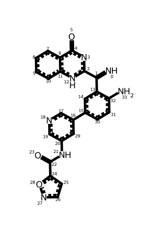 N=C(c1nc(=O)c2ccccc2[nH]1)c1cc(-c2cncc(NC(=O)c3ccno3)c2)ccc1N